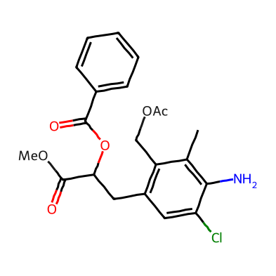 COC(=O)C(Cc1cc(Cl)c(N)c(C)c1COC(C)=O)OC(=O)c1ccccc1